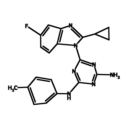 Cc1ccc(Nc2nc(N)nc(-n3c(C4CC4)nc4cc(F)ccc43)n2)cc1